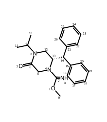 COC(=N)N1CC(=O)N(C(C)C)C[C@@H]1C(c1ccccc1)c1ccccc1